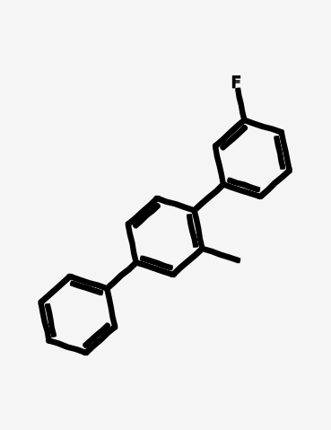 Cc1cc(-c2ccccc2)ccc1-c1cccc(F)c1